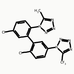 Cc1nnnn1-c1ccc(Cl)cc1-c1cc(-n2nnnc2C(F)(F)F)[c]cc1Cl